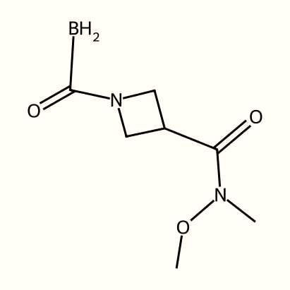 BC(=O)N1CC(C(=O)N(C)OC)C1